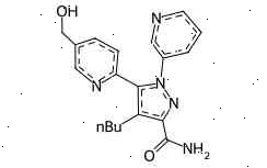 CCCCc1c(C(N)=O)nn(-c2cccnc2)c1-c1ccc(CO)cn1